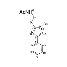 CC(=O)NCCc1nc(-c2ccccc2)cn1C